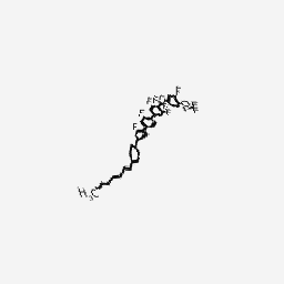 CCCCCCCCCC1CCC(c2ccc(-c3ccc(-c4cc(F)c(C(F)(F)Oc5ccc(OC(F)(F)F)c(F)c5)c(F)c4)c(F)c3)c(F)c2)CC1